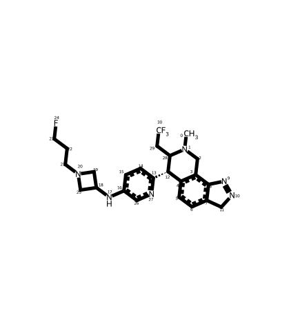 CN1Cc2c(ccc3c2N=NC3)[C@H](c2ccc(NC3CN(CCCF)C3)cn2)C1CC(F)(F)F